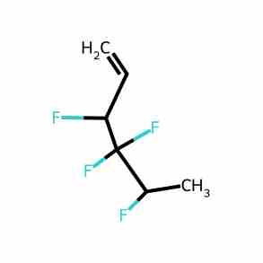 C=CC(F)C(F)(F)C(C)F